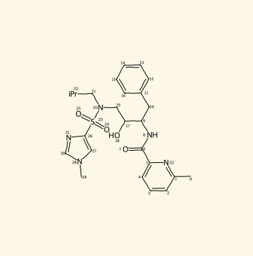 Cc1cccc(C(=O)NC(Cc2ccccc2)C(O)CN(CC(C)C)S(=O)(=O)c2cn(C)cn2)n1